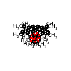 Cc1ccc(N(c2ccc(C)c(C)c2)c2c3ccccc3c(-c3cc(-c4c5ccccc5c(N(c5ccc(C)c(C)c5)c5ccc(C)c(C)c5)c5ccccc45)cc(C4(c5cc(-c6c7ccccc7c(N(c7ccc(C)c(C)c7)c7ccc(C)c(C)c7)c7ccccc67)cc(-c6c7ccccc7c(N(c7ccc(C)c(C)c7)c7ccc(C)c(C)c7)c7ccccc67)c5)c5ccccc5-c5ccccc54)c3)c3ccccc23)cc1C